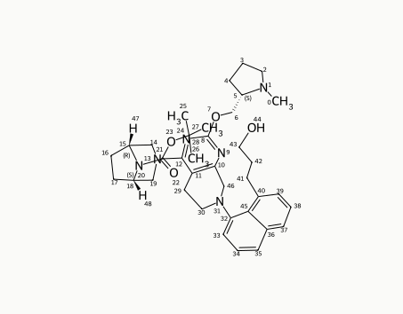 CN1CCC[C@H]1COc1nc2c(c(N3C[C@H]4CC[C@@H](C3)N4C(=O)OC(C)(C)C)n1)CCN(c1cccc3cccc(CCCO)c13)C2